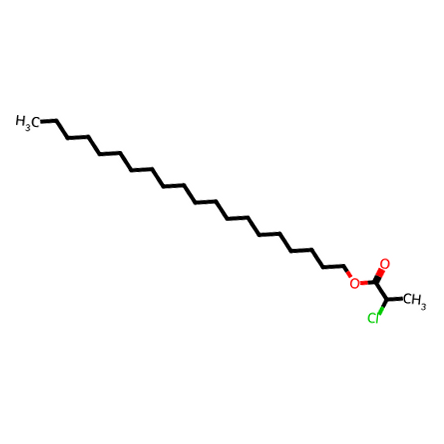 CCCCCCCCCCCCCCCCCCCCOC(=O)C(C)Cl